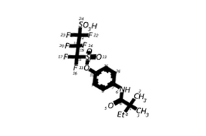 CCC(C)(C)C(=O)Nc1ccc(OS(=O)(=O)C(F)(F)C(F)(F)C(F)(F)S(=O)(=O)O)cc1